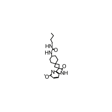 CCCCNC(=O)NC1CCC2(CC1)CC1(C2)C(=O)Nc2ccc(OC)nc21